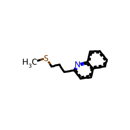 CSCCCc1ccc2ccccc2n1